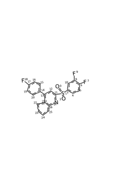 O=S(=O)(c1ccc(F)c(F)c1)c1cc(-c2ccc(F)cc2)c2ccccc2n1